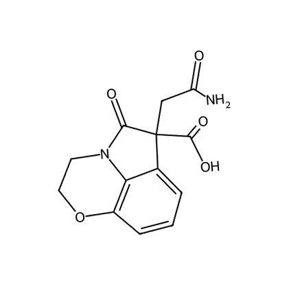 NC(=O)CC1(C(=O)O)C(=O)N2CCOc3cccc1c32